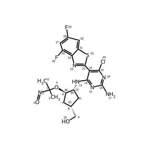 CC(C)(N=O)O[C@@H]1C[C@@H](CO)C[C@H]1Nc1nc(N)nc(Cl)c1-c1nc2c(F)cc(F)cc2s1